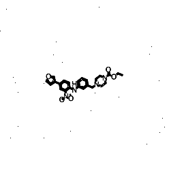 CCOC(=O)N1CCN(Cc2cccc(Nc3ccc(-c4ccoc4)cc3[N+](=O)[O-])c2)CC1